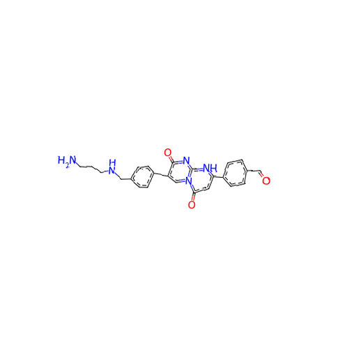 NCCCNCc1ccc(-c2cn3c(=O)cc(-c4ccc(C=O)cc4)[nH]c3nc2=O)cc1